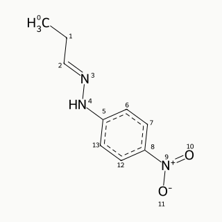 CC/C=N/Nc1ccc([N+](=O)[O-])cc1